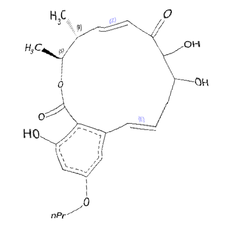 CCCOc1cc(O)c2c(c1)/C=C/CC(O)C(O)C(=O)/C=C\[C@@H](C)[C@H](C)OC2=O